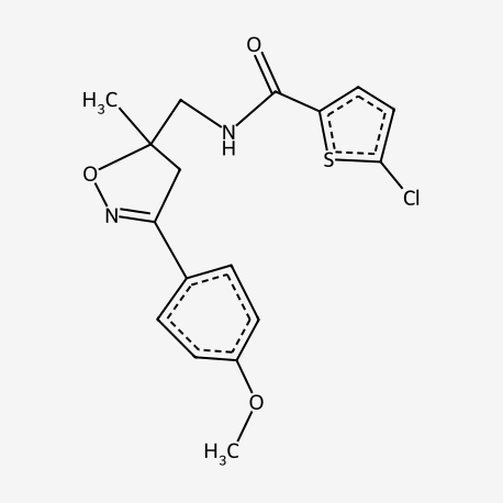 COc1ccc(C2=NOC(C)(CNC(=O)c3ccc(Cl)s3)C2)cc1